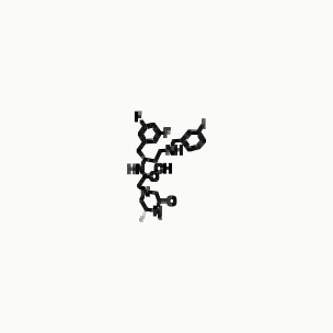 C[C@@H]1CN(CC(=O)N[C@@H](Cc2cc(F)cc(F)c2)[C@@H](O)CNCc2cccc(I)c2)CC(=O)N1C